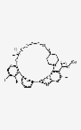 Cc1cc2nc3cn2c(c1[C@H](OC(C)(C)C)C(=O)O)N1CCC(C)(CC1)OCCCC[C@H](C)Oc1ccc(F)c(F)c1-c1cccc-3c1